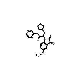 O=C1C(=O)N(C(CC2CCCC2)C(=O)Nc2cnccn2)c2ccc(OC(F)(F)F)cc21